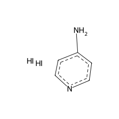 I.I.Nc1ccncc1